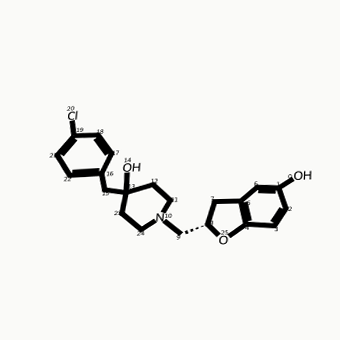 Oc1ccc2c(c1)C[C@@H](CN1CCC(O)(Cc3ccc(Cl)cc3)CC1)O2